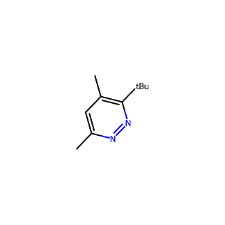 Cc1cc(C)c(C(C)(C)C)nn1